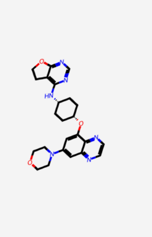 c1nc(N[C@H]2CC[C@@H](Oc3cc(N4CCOCC4)cc4nccnc34)CC2)c2c(n1)OCC2